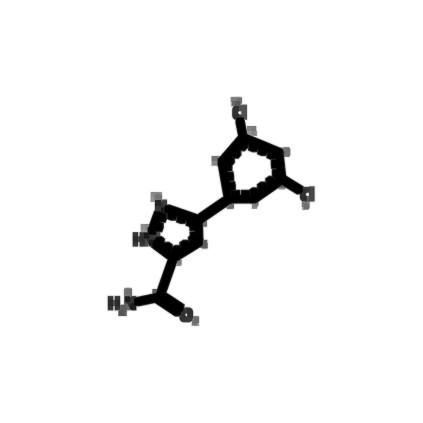 NC(=O)c1cc(-c2cc(Cl)cc(Cl)c2)n[nH]1